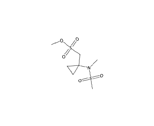 COS(=O)(=O)CC1(N(C)S(C)(=O)=O)CC1